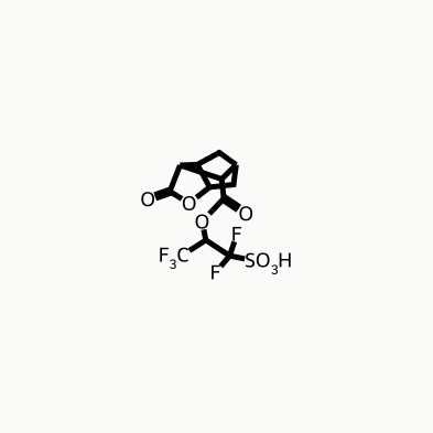 O=C(OC(C(F)(F)F)C(F)(F)S(=O)(=O)O)C1C2CC3OC(=O)C1C3C2